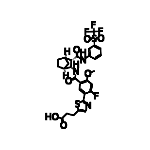 COc1cc(F)c(-c2ncc(CCC(=O)O)s2)cc1C(=O)N[C@@H]1[C@H]2CC[C@H](C2)[C@@H]1C(=O)Nc1cccc(S(=O)(=O)C(F)(F)F)c1